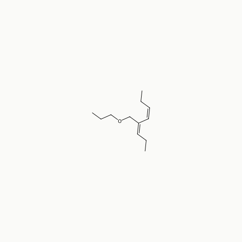 CC/C=C\C(=C/CC)COCCC